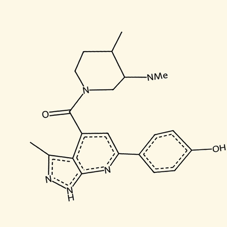 CNC1CN(C(=O)c2cc(-c3ccc(O)cc3)nc3[nH]nc(C)c23)CCC1C